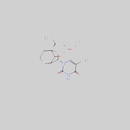 CC[C@]12CCOC(C1O[PH](=S)OC)[C@H](n1cc(C)c(=O)[nH]c1=O)O2